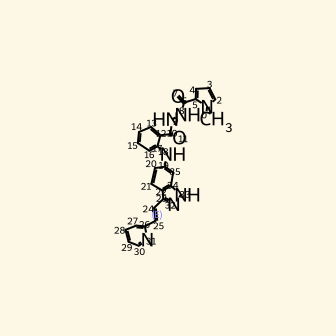 Cn1cccc1C(=O)NNC(=O)c1ccccc1Nc1ccc2c(/C=C/c3ccccn3)n[nH]c2c1